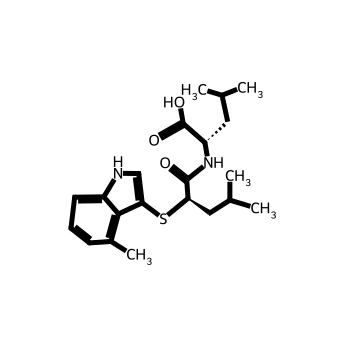 Cc1cccc2[nH]cc(S[C@H](CC(C)C)C(=O)N[C@@H](CC(C)C)C(=O)O)c12